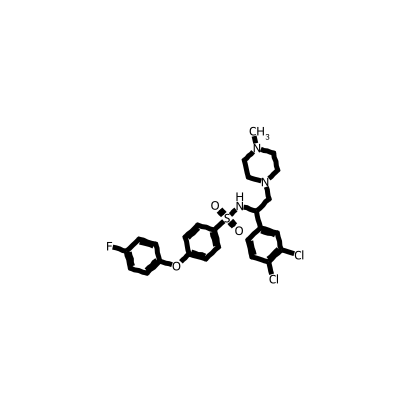 CN1CCN(CC(NS(=O)(=O)c2ccc(Oc3ccc(F)cc3)cc2)c2ccc(Cl)c(Cl)c2)CC1